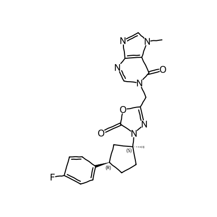 Cn1cnc2ncn(Cc3nn([C@@]4(C)CC[C@@H](c5ccc(F)cc5)C4)c(=O)o3)c(=O)c21